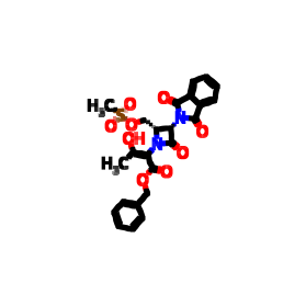 CC(O)=C(C(=O)OCc1ccccc1)N1C(=O)[C@@H](N2C(=O)c3ccccc3C2=O)[C@H]1COS(C)(=O)=O